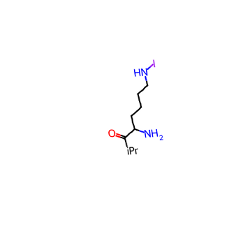 CC(C)C(=O)C(N)CCCCNI